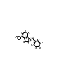 COc1cccc2c1ccn2Cc1ccccc1